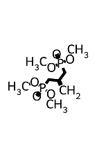 C=C(CP(=O)(OC)OC)CP(=O)(OC)OC